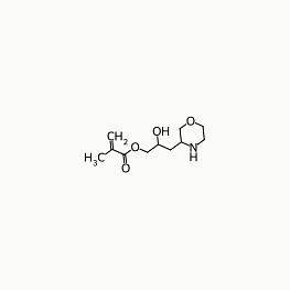 C=C(C)C(=O)OCC(O)CC1COCCN1